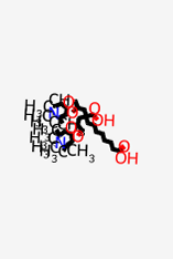 CN1C(C)(C)CC2(CC1(C)C)OCC(CC(CCCCCCCC(=O)O)(CC1COC3(CC(C)(C)N(C)C(C)(C)C3)O1)C(=O)O)O2